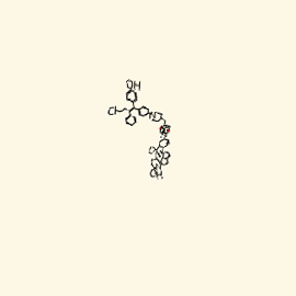 O=C1CCC(N2C(=O)c3ccc(N4CC5CCC4CN5CC4CCN(c5ccc(C(=C(CCCl)c6ccccc6)c6ccc(O)cc6)cc5)CC4)cc3C2=O)C(=O)N1